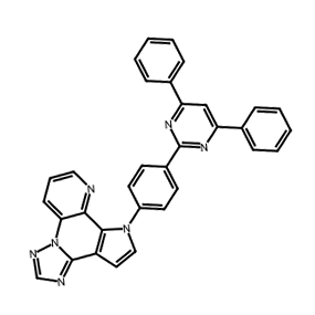 c1ccc(-c2cc(-c3ccccc3)nc(-c3ccc(-n4ccc5c4c4ncccc4n4ncnc54)cc3)n2)cc1